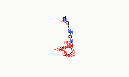 CCC1OC(=O)[C@H](C)[C@H](OC2C[C@H](C)[C@@H](O)[C@H](C)O2)[C@H](C)[C@@H](OC2O[C@H](C)C[C@H](N(C)Cc3ccc(-c4cn(CCCCc5ccc(-n6cc(C)ccc6=O)cc5)nn4)cc3)[C@H]2O)[C@@](C)(OC)C[C@@H](C)C(=O)[C@H](C)[C@@H](O)[C@]1(C)O